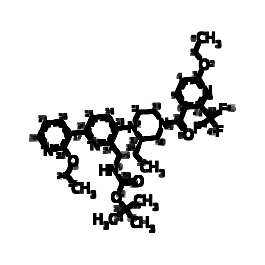 CCOc1ccc(C(=O)N2CCN(c3ccc(-c4cccnc4OCC)nc3CNC(=O)OC(C)(C)C)[C@H](CC)C2)c(C(F)(F)F)n1